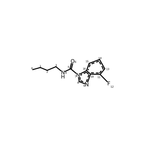 CCCCNC(=O)n1cnc2c(F)cccc21